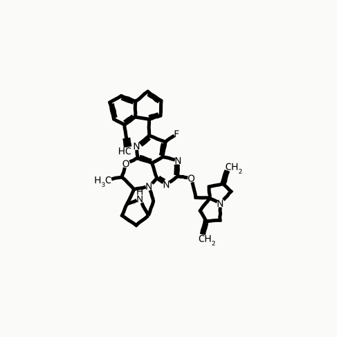 C#Cc1cccc2cccc(-c3nc4c5c(nc(OCC67CC(=C)CN6CC(=C)C7)nc5c3F)N3CC5CCC(N5)C3C(C)O4)c12